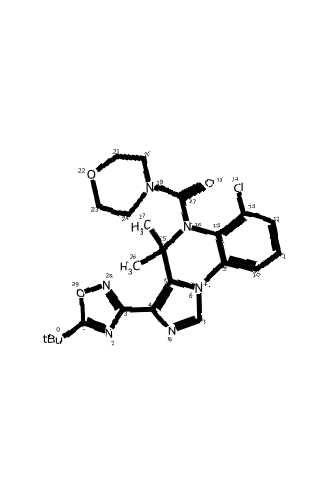 CC(C)(C)c1nc(C2=C3[N+](C=N2)c2cccc(Cl)c2N(C(=O)N2CCOCC2)C3(C)C)no1